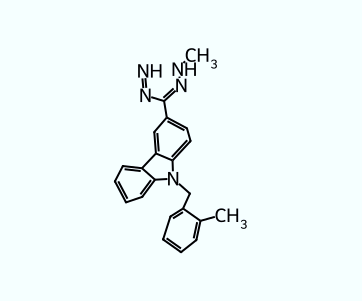 CN/N=C(\N=N)c1ccc2c(c1)c1ccccc1n2Cc1ccccc1C